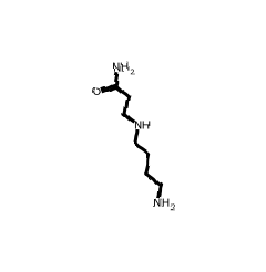 NCCCCNCCC(N)=O